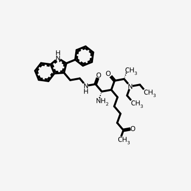 CCN(CC)[C@@H](C)C(=O)C(CCCCC(C)=O)[C@H](N)C(=O)NCCc1c(-c2ccccc2)[nH]c2ccccc12